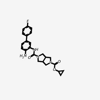 Nc1ccc(-c2ccc(F)cc2)cc1NC(=O)N1CC2CN(C(=O)OC3CC3)CC2C1